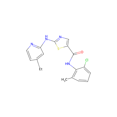 CCc1ccnc(Nc2ncc(C(=O)Nc3c(C)cccc3Cl)s2)c1